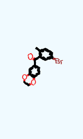 Cc1ccc(Br)cc1C(=O)c1ccc2c(c1)OCCO2